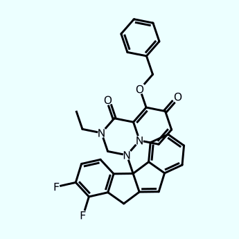 CCN1CN(C23C(=Cc4ccccc42)Cc2c3ccc(F)c2F)n2ccc(=O)c(OCc3ccccc3)c2C1=O